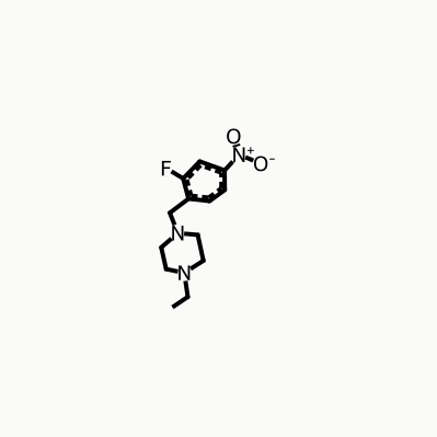 CCN1CCN(Cc2ccc([N+](=O)[O-])cc2F)CC1